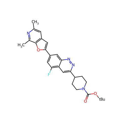 Cc1cc2cc(-c3cc(F)c4cc(C5CCN(C(=O)OC(C)(C)C)CC5)nnc4c3)oc2c(C)n1